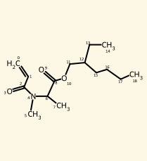 C=CC(=O)N(C)C(C)C(=O)OCC(CC)CCCC